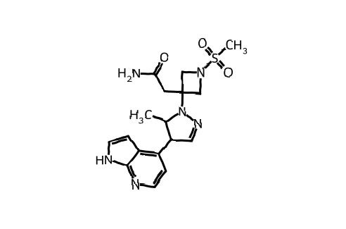 CC1C(c2ccnc3[nH]ccc23)C=NN1C1(CC(N)=O)CN(S(C)(=O)=O)C1